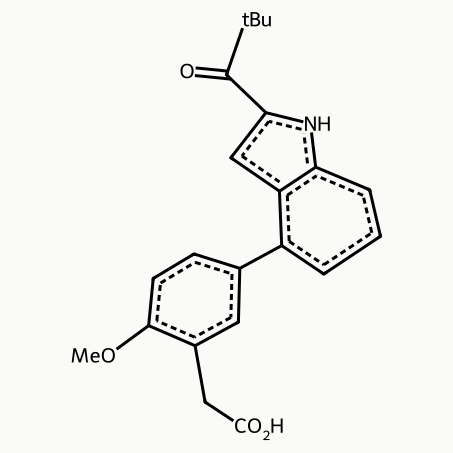 COc1ccc(-c2cccc3[nH]c(C(=O)C(C)(C)C)cc23)cc1CC(=O)O